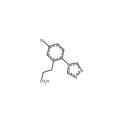 O=C(O)CCc1cc(Cl)ccc1-n1cnnc1